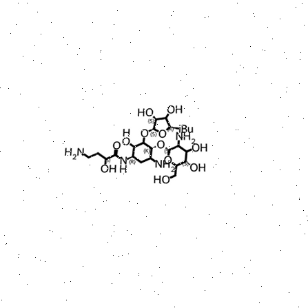 CCC(C)[C@H]1O[C@@H](OC2C(O)[C@H](NC(=O)[C@@H](O)CCN)CC(N)[C@H]2O[C@H]2OC(CO)[C@@H](O)C(O)C2N)[C@@H](O)C1O